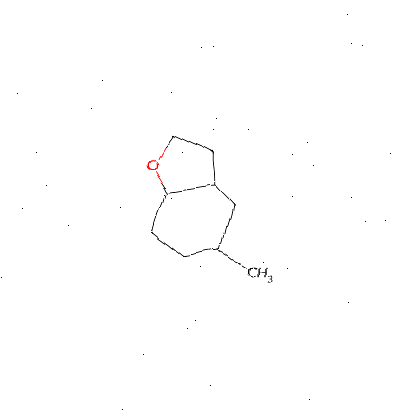 CC1CCC2OCCC2C1